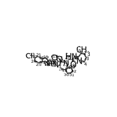 Cc1cccnc1NC(=O)CN1C(=O)C(NC(=O)c2cc3cc(Cl)ccc3[nH]2)Cc2ccccc21